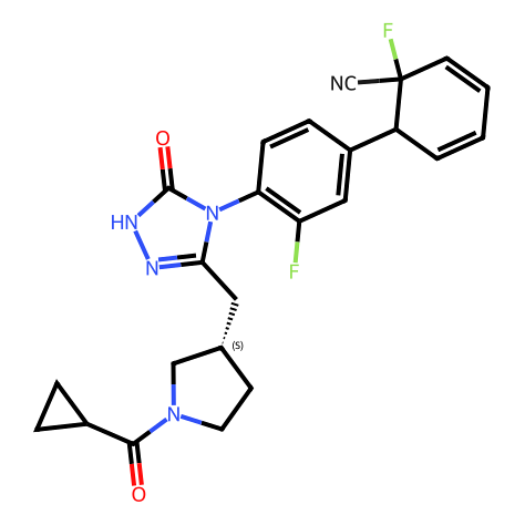 N#CC1(F)C=CC=CC1c1ccc(-n2c(C[C@@H]3CCN(C(=O)C4CC4)C3)n[nH]c2=O)c(F)c1